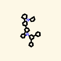 C1=CCC(n2c3ccccc3c3ccc(-c4ccc5c(c4)c4ccccc4n5-c4cc(-c5ccccc5)cc(-c5ccccc5)c4)cc32)C=C1